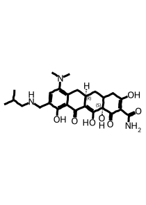 CC(C)CNCc1cc(N(C)C)c2c(c1O)C(=O)C1=C(O)[C@]3(O)C(=O)C(C(N)=O)=C(O)CC3C[C@@H]1C2